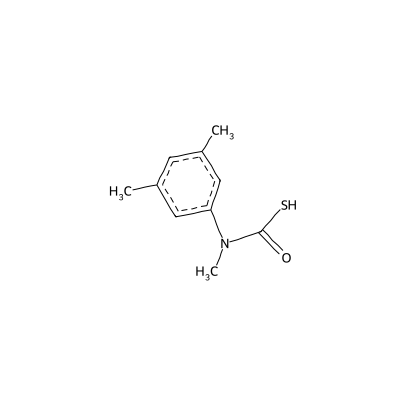 Cc1cc(C)cc(N(C)C(=O)S)c1